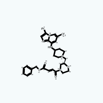 CC(C)c1cnc2c(NC3CCN(C[C@@H]4CN(C(=O)/C=C/C(=O)OCc5ccccc5)CCO4)CC3)cc(C(F)(F)F)cn12